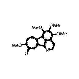 COc1c(OC)c2c3c(nccc3c1OC)-c1cc(=O)c(OC)ccc1-2